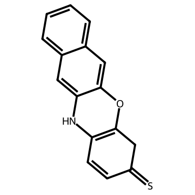 S=C1C=CC2=C(C1)Oc1cc3ccccc3cc1N2